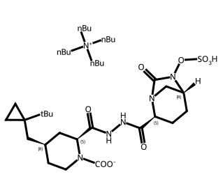 CC(C)(C)C1(C[C@@H]2CCN(C(=O)[O-])[C@H](C(=O)NNC(=O)[C@@H]3CC[C@@H]4CN3C(=O)N4OS(=O)(=O)O)C2)CC1.CCCC[N+](CCCC)(CCCC)CCCC